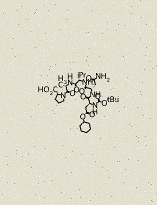 CC(C)[C@H](NC(=O)[C@H](CC(N)=O)NC(=O)[C@H](CC(=O)OC1CCCCC1)NC(=O)OC(C)(C)C)C(=O)N[C@@H](C)C(=O)N1CCC[C@H]1C(=O)O